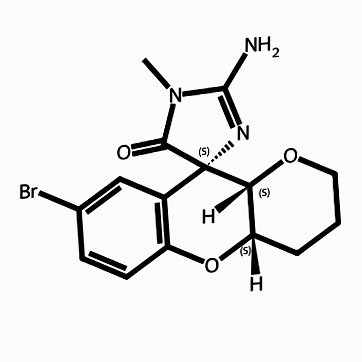 CN1C(=O)[C@]2(N=C1N)c1cc(Br)ccc1O[C@H]1CCCO[C@H]12